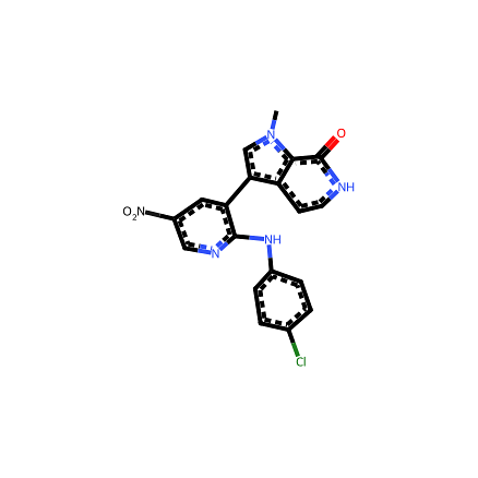 Cn1cc(-c2cc([N+](=O)[O-])cnc2Nc2ccc(Cl)cc2)c2cc[nH]c(=O)c21